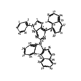 c1ccc(-n2ccc3c(-c4cccc5ccccc45)nc(-n4c5ccccc5c5c6ccccc6ccc54)nc32)cc1